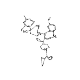 Cc1ccc(C2(C#N)CCN(c3c(C(=O)N4CCN(C(=O)C5CC5)CC4)cnc4ccc(F)cc34)CC2)c(F)c1